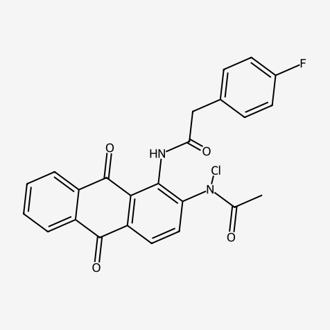 CC(=O)N(Cl)c1ccc2c(c1NC(=O)Cc1ccc(F)cc1)C(=O)c1ccccc1C2=O